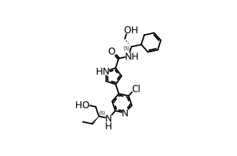 CC[C@@H](CO)Nc1cc(-c2c[nH]c(C(=O)N[C@H](CO)C3C=CC=CC3)c2)c(Cl)cn1